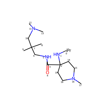 CC(C)NC1(C(=O)NCC(C)(C)CN(C)C)CCN(C)CC1